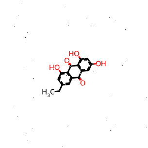 CCc1cc(O)c2c(c1)C(=O)c1cc(O)cc(O)c1C2=O